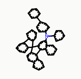 c1ccc(-c2ccc(N(c3ccccc3)c3cc4c(c5ccccc35)-c3c(ccc5ccccc35)C43c4ccccc4-c4ccccc43)cc2)cc1